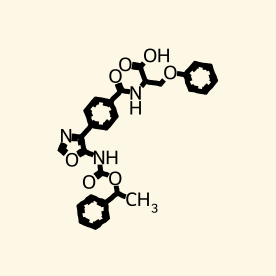 CC(OC(=O)Nc1ocnc1-c1ccc(C(=O)NC(COc2ccccc2)C(=O)O)cc1)c1ccccc1